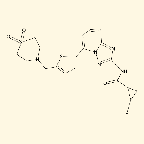 O=C(Nc1nc2cccc(-c3ccc(CN4CCS(=O)(=O)CC4)s3)n2n1)C1CC1F